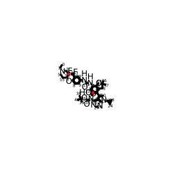 CCN1CCC(Oc2ccc(NC(=O)Nc3ccc(-c4cn(C5CC5)c5ncnc(N(C(=O)O)C(=O)OC(C)(C)C)c45)c4c3OC(C)(C)C4)cc2C(F)(F)F)CC1